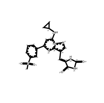 CS(=O)(=O)c1cccc(-c2cc(NC3CC3)n3ncc(C=C4NC(=O)NC4=O)c3n2)c1